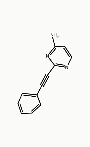 Nc1ccnc(C#Cc2ccccc2)n1